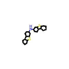 c1ccc2c(c1)sc1cc(Nc3ccc4c(c3)sc3ccccc34)ccc12